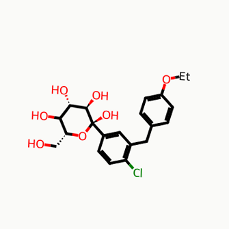 CCOc1ccc(Cc2cc([C@]3(O)O[C@H](CO)C(O)[C@H](O)[C@H]3O)ccc2Cl)cc1